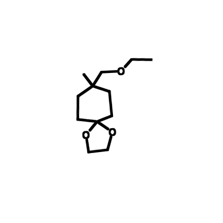 CCOCC1(C)CCC2(CC1)OCCO2